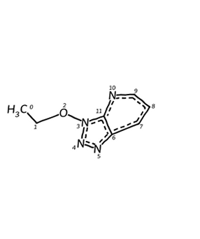 CCOn1nnc2cccnc21